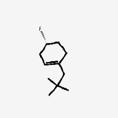 CC(C)(C)CC1=CC[C@H](F)CC1